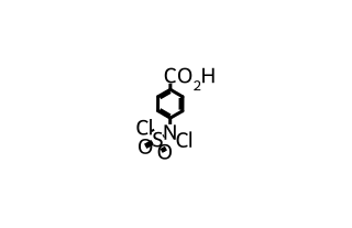 O=C(O)c1ccc(N(Cl)S(=O)(=O)Cl)cc1